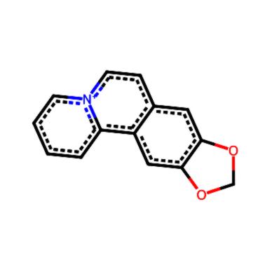 c1cc[n+]2ccc3cc4c(cc3c2c1)OCO4